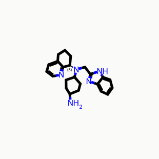 NC1CCC(N(Cc2nc3ccccc3[nH]2)[C@H]2CCCc3cccnc32)CC1